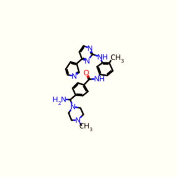 Cc1ccc(NC(=O)c2ccc(C(N)N3CCN(C)CC3)cc2)cc1Nc1nccc(-c2cccnc2)n1